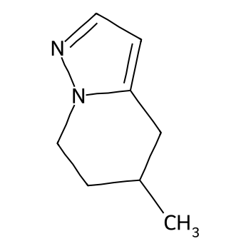 CC1CCn2nccc2C1